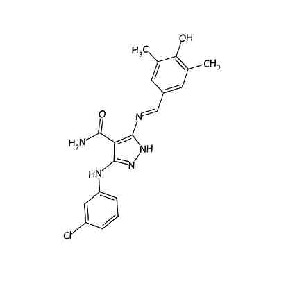 Cc1cc(/C=N/c2[nH]nc(Nc3cccc(Cl)c3)c2C(N)=O)cc(C)c1O